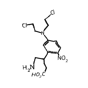 NCC(CC(=O)O)c1cc(N(CCCl)CCCl)ccc1[N+](=O)[O-]